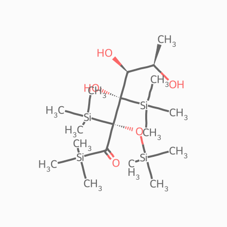 C[C@@H](O)[C@H](O)[C@](O)([C@@](O[Si](C)(C)C)(C(=O)[Si](C)(C)C)[Si](C)(C)C)[Si](C)(C)C